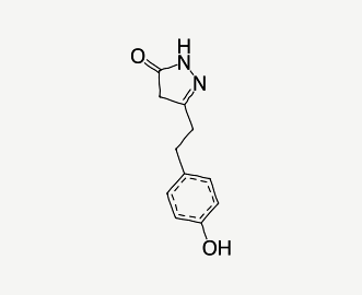 O=C1CC(CCc2ccc(O)cc2)=NN1